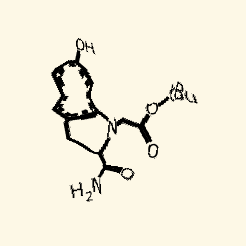 CC(C)(C)OC(=O)N1c2cc(O)ccc2CC1C(N)=O